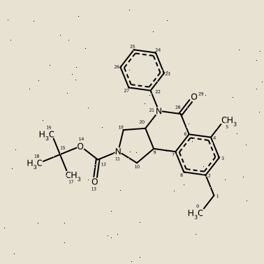 CCc1cc(C)c2c(c1)C1CN(C(=O)OC(C)(C)C)CC1N(c1ccccc1)C2=O